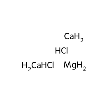 Cl.Cl.[CaH2].[CaH2].[MgH2]